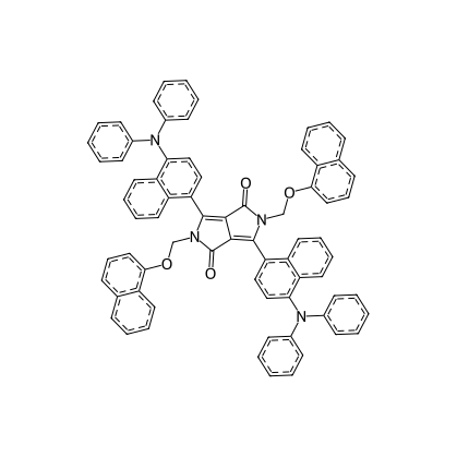 O=C1C2=C(c3ccc(N(c4ccccc4)c4ccccc4)c4ccccc34)N(COc3cccc4ccccc34)C(=O)C2=C(c2ccc(N(c3ccccc3)c3ccccc3)c3ccccc23)N1COc1cccc2ccccc12